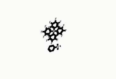 C[N+](C)(C)c1ccccc1.Fc1c(F)c(F)c([B-](c2c(F)c(F)c(F)c(F)c2F)(c2c(F)c(F)c(F)c(F)c2F)c2c(F)c(F)c(F)c(F)c2F)c(F)c1F